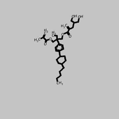 C=C(C)C(=O)OCC(CC)(COC(=O)C(=C)CC(CO)CO)c1ccc(C2CCC(CCCCC)CC2)cc1